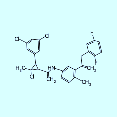 C=C(Cc1cc(F)ccc1F)c1cc(NC(=C)C2C(c3cc(Cl)cc(Cl)c3)C2(C)Cl)ccc1C